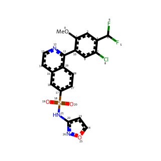 COc1cc(C(F)F)c(Cl)cc1-c1nccc2cc(S(=O)(=O)Nc3ccon3)ccc12